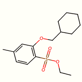 CCOS(=O)(=O)c1ccc(C)cc1OCC1CCCCC1